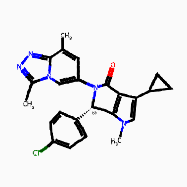 Cc1cc(N2C(=O)c3c(C4CC4)cn(C)c3[C@@H]2c2ccc(Cl)cc2)cn2c(C)nnc12